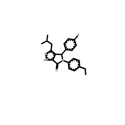 CCc1ccc(N2C(=O)c3[nH]nc(CC(C)C)c3C2c2ccc(F)cc2)cc1